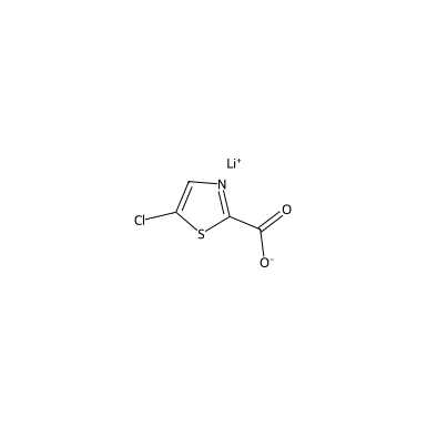 O=C([O-])c1ncc(Cl)s1.[Li+]